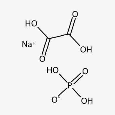 O=C(O)C(=O)O.O=P([O-])(O)O.[Na+]